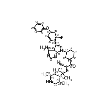 C[C@@H]1CN(C(C)(C)C=C(C#N)C(=O)N2CCCC(n3nc(-c4ccc(Oc5ccccc5)cc4F)c4c(N)ncnc43)C2)[C@@H](C)CN1